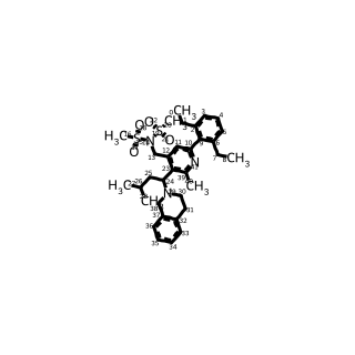 CCc1cccc(CC)c1-c1cc(CN(S(C)(=O)=O)S(C)(=O)=O)c(C(CC(C)C)N2CCc3ccccc3C2)c(C)n1